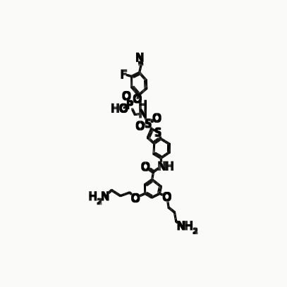 N#Cc1ccc(OP(=O)(O)CNS(=O)(=O)c2cc3cc(NC(=O)c4cc(OCCCN)cc(OCCCN)c4)ccc3s2)cc1F